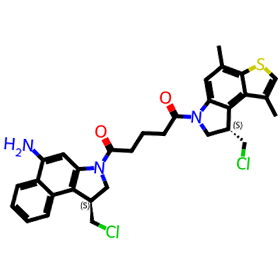 Cc1cc2c(c3c(C)csc13)[C@H](CCl)CN2C(=O)CCCC(=O)N1C[C@@H](CCl)c2c1cc(N)c1ccccc21